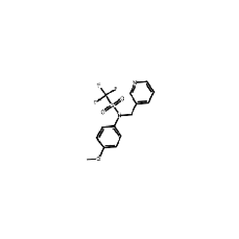 COc1ccc(N(Cc2cccnc2)S(=O)(=O)C(F)(F)F)cc1